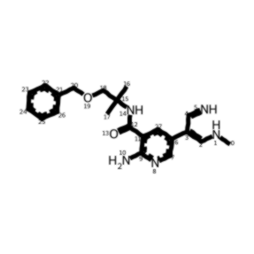 CN/C=C(\C=N)c1cnc(N)c(C(=O)NC(C)(C)COCc2ccccc2)c1